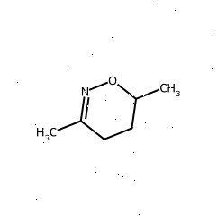 CC1=NOC(C)CC1